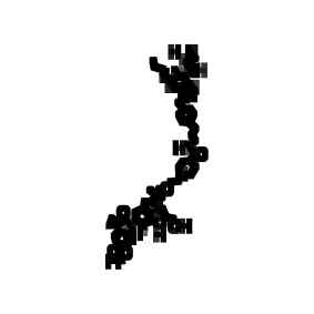 CCCSc1nc(NCCN)c2nnn(Cc3ccc(CCCNC(=O)C4CCN(CCOCC(C)(C)c5cc6cc(NC(=O)C7(c8ccc9c(c8)OC(F)(F)O9)CC7)c(F)cc6n5CC(O)CO)CC4)cc3)c2n1